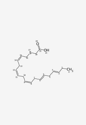 CCC=CCC=CC/C=C\C/C=C\C/C=C\CSCC(=O)O